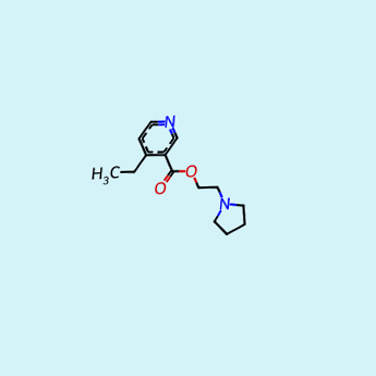 CCc1ccncc1C(=O)OCCN1CCCC1